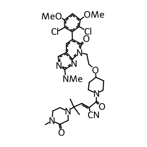 CNc1ncc2cc(-c3c(Cl)c(OC)cc(OC)c3Cl)c(=O)n(CCOC3CCN(C(=O)C(C#N)=CC(C)(C)N4CCN(C)C(=O)C4)CC3)c2n1